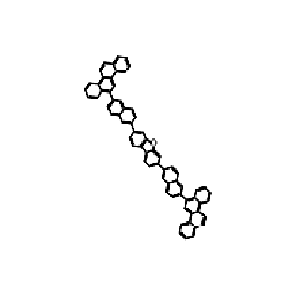 c1ccc2c(c1)ccc1c3ccccc3c(-c3ccc4cc(-c5ccc6c(c5)oc5cc(-c7ccc8cc(-c9cc%10c%11ccccc%11ccc%10c%10ccccc9%10)ccc8c7)ccc56)ccc4c3)cc21